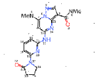 CNC(=O)c1cnn2c(NC)cc(Nc3cccc(N4CCCC4=O)n3)nc12